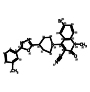 Cc1cccc(-c2nnc(C3CCN(c4c(C#N)c(=O)n(C)c5ccc(Br)cc45)CC3)o2)c1